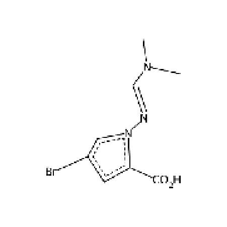 CN(C)C=Nn1cc(Br)cc1C(=O)O